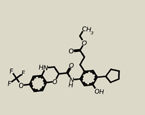 CCOC(=O)CCc1cc(C2CCCC2)c(O)cc1NC(=O)C1CNc2cc(OC(F)(F)F)ccc2O1